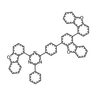 c1ccc(-c2nc(-c3ccc(-c4ccc(-c5cccc6oc7ccccc7c56)c5c4oc4ccccc45)cc3)nc(-c3cccc4oc5ccccc5c34)n2)cc1